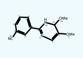 COC1=CN=C(c2cccc(C#N)c2)NC1OC